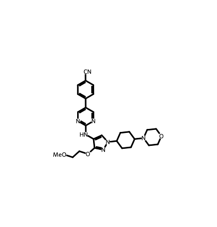 COCCOc1nn(C2CCC(N3CCOCC3)CC2)cc1Nc1ncc(-c2ccc(C#N)cc2)cn1